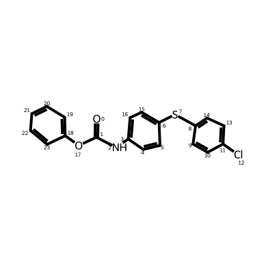 O=C(Nc1ccc(Sc2ccc(Cl)cc2)cc1)Oc1ccccc1